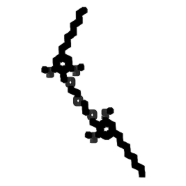 CCCCCCCCc1cc(SC)c(COCCOCCOCc2c(SC)cc(CCCCCCCC)cc2SC)c(SC)c1